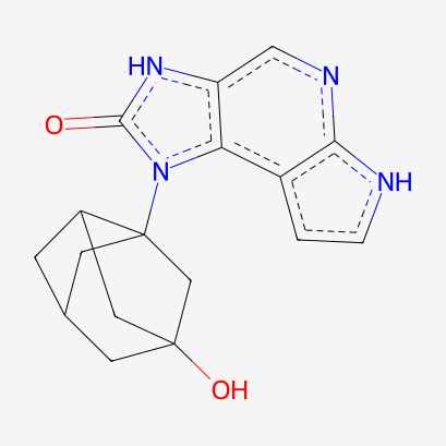 O=c1[nH]c2cnc3[nH]ccc3c2n1C12CC3CC1CC(O)(C3)C2